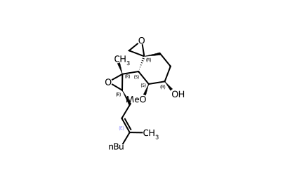 CCCC/C(C)=C/C[C@H]1O[C@]1(C)[C@H]1[C@H](OC)[C@H](O)CC[C@]12CO2